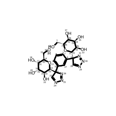 OC[C@H]1O[C@@H](C2(c3cccc(C4([C@@H]5O[C@H](CO)[C@@H](O)[C@@H](O)[C@@H]5O)C=NN=N4)c3)C=NN=N2)[C@H](O)[C@H](O)[C@@H]1O